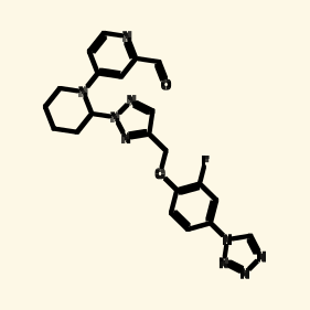 O=Cc1cc(N2CCCCC2n2ncc(COc3ccc(-n4cnnn4)cc3F)n2)ccn1